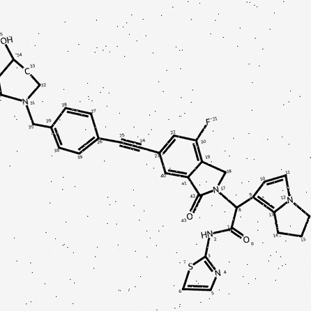 O=C(Nc1nccs1)C(c1ccn2c1CCC2)N1Cc2c(F)cc(C#Cc3ccc(CN4CCC(O)CC4)cc3)cc2C1=O